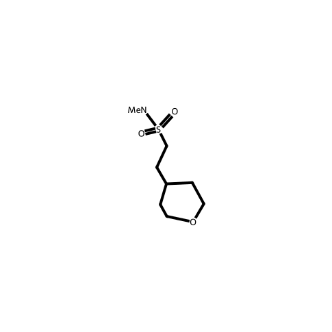 CNS(=O)(=O)CCC1CCOCC1